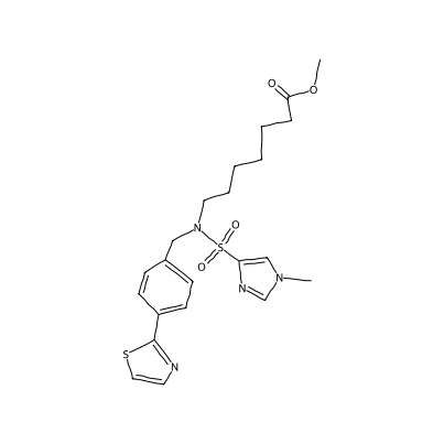 COC(=O)CCCCCCN(Cc1ccc(-c2nccs2)cc1)S(=O)(=O)c1cn(C)cn1